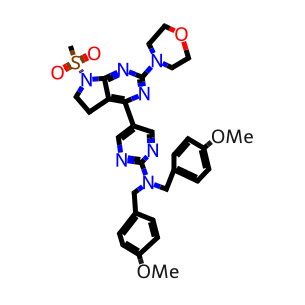 COc1ccc(CN(Cc2ccc(OC)cc2)c2ncc(-c3nc(N4CCOCC4)nc4c3CCN4S(C)(=O)=O)cn2)cc1